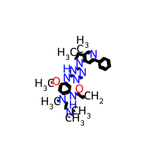 C=CC(=O)Nc1cc(Nc2ncnc(N3CC(C)(C)c4cnc(-c5ccccc5)cc43)n2)c(OC)cc1N(C)CCN(C)C